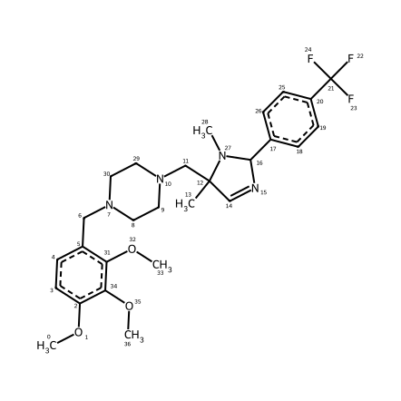 COc1ccc(CN2CCN(CC3(C)C=NC(c4ccc(C(F)(F)F)cc4)N3C)CC2)c(OC)c1OC